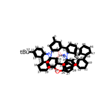 Cc1cc2c3c(c1)N(c1ccc(C(C)(C)C)cc1-c1ccccc1)c1ccc4oc5ccccc5c4c1B3N1c3ccccc3[Si]3(c4ccccc4-c4ccccc43)c3cccc-2c31